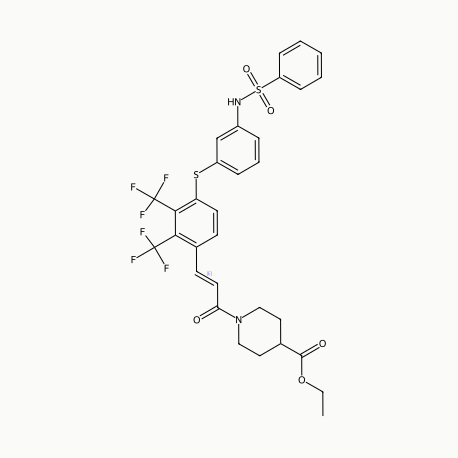 CCOC(=O)C1CCN(C(=O)/C=C/c2ccc(Sc3cccc(NS(=O)(=O)c4ccccc4)c3)c(C(F)(F)F)c2C(F)(F)F)CC1